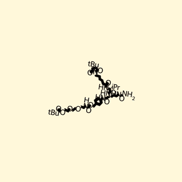 CC(C)[C@@H](NC(=O)CCCCCN1C(=O)CC(C(C)(C)C)C1=O)C(=O)N[C@H](CCCNC(N)=O)C(=O)Nc1ccc(COC(=O)NCCOCCOCCOC(=O)C(C)(C)C)cc1